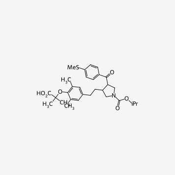 CSc1ccc(C(=O)C2CN(C(=O)OC(C)C)CC2CCc2cc(C)c(OC(C)(C)C(=O)O)c(C)c2)cc1